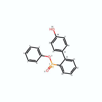 O=[PH](Oc1ccccc1)c1ccccc1-c1ccc(O)cc1